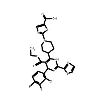 CCOC(=O)C1=C(C2CCN(c3ncc(C(=O)O)s3)CC2)NC(c2nccs2)=NC1c1ccc(F)c(F)c1Cl